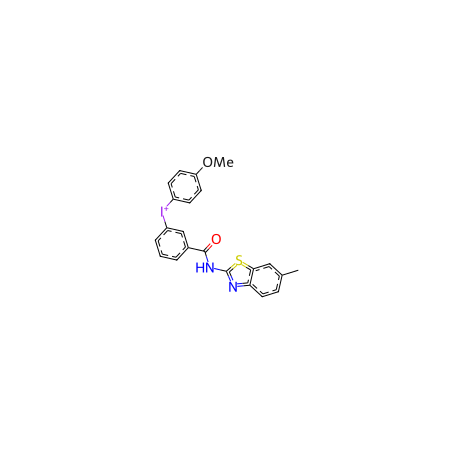 COc1ccc([I+]c2cccc(C(=O)Nc3nc4ccc(C)cc4s3)c2)cc1